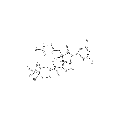 C[C@@]1(Cc2ccc(Br)cc2)C(=O)N(c2cc(Cl)cc(Cl)c2)c2ncc(S(=O)(=O)N3CCC(O)(P(=O)(O)O)CC3)n21